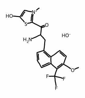 COc1ccc2c(CC(N)C(=O)c3sc(O)c[n+]3C)cccc2c1C(F)(F)F.[OH-]